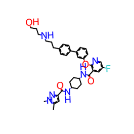 Cc1cc(C(=O)N[C@H]2CC[C@@H](NC(=O)c3cc(F)cnc3Oc3cccc(-c4ccc(CCCNCCCO)cc4)c3)CC2)nn1C